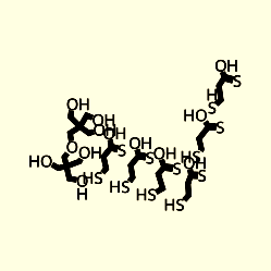 OC(=S)CCS.OC(=S)CCS.OC(=S)CCS.OC(=S)CCS.OC(=S)CCS.OC(=S)CCS.OCC(CO)(CO)COCC(CO)(CO)CO